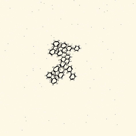 c1ccc(-c2cccc(N(c3cccc4c3-c3ccccc3C43c4ccccc4-c4ccccc43)c3ccc4ccc5c(N(c6cccc(-c7ccccc7)c6)c6cccc7c6-c6ccccc6C76c7ccccc7-c7ccccc76)ccc6ccc3c4c65)c2)cc1